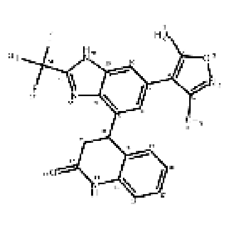 Cc1noc(C)c1-c1cc(C2CC(=O)Nc3ccccc32)c2nc(C(F)(F)F)[nH]c2c1